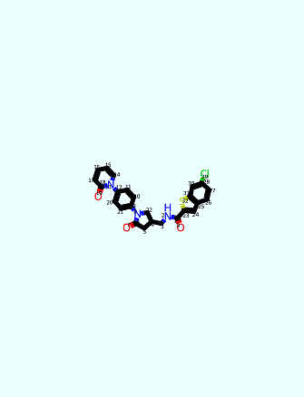 O=C(NCC1CC(=O)N(c2ccc(-n3ccccc3=O)cc2)C1)c1cc2ccc(Cl)cc2s1